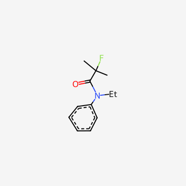 CCN(C(=O)C(C)(C)F)c1ccccc1